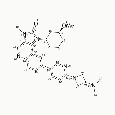 CO[C@H]1CCC[C@@H](n2c(=O)n(C)c3cnc4ccc(-c5ccc(N6CC(N(C)C)C6)nc5)cc4c32)C1